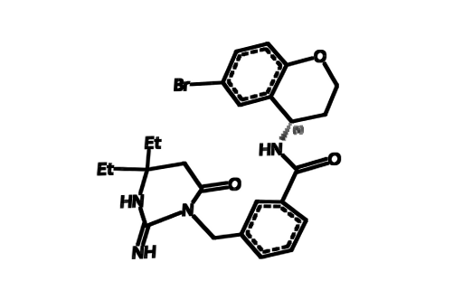 CCC1(CC)CC(=O)N(Cc2cccc(C(=O)N[C@H]3CCOc4ccc(Br)cc43)c2)C(=N)N1